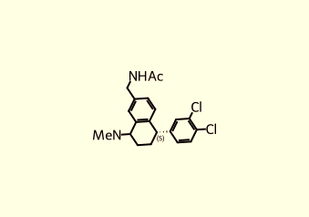 CNC1CC[C@@H](c2ccc(Cl)c(Cl)c2)c2ccc(CNC(C)=O)cc21